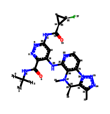 [2H]C([2H])([2H])NC(=O)c1nnc(NC(=O)[C@H]2C[C@@H]2F)cc1Nc1nccc2c1N(C)[C@H](C)c1c(C)nnn1-2